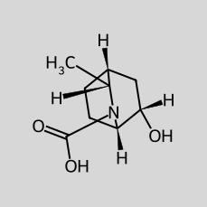 C[C@@H]1[C@@H]2CC[C@@H]([C@@H](O)C2)N1C(=O)O